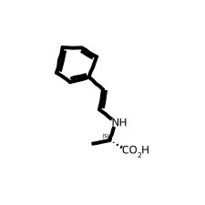 C[C@H](NC=Cc1ccccc1)C(=O)O